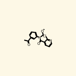 COCN(C(=O)c1cccnc1Cl)c1cccc(C(C)=O)c1